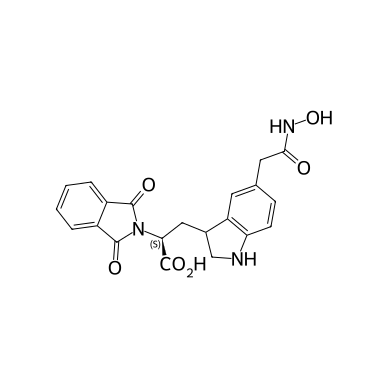 O=C(Cc1ccc2c(c1)C(C[C@@H](C(=O)O)N1C(=O)c3ccccc3C1=O)CN2)NO